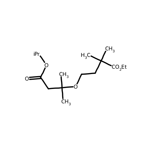 CCOC(=O)C(C)(C)CCOC(C)(C)CC(=O)OC(C)C